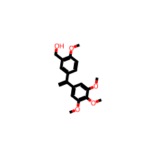 C=C(c1ccc(OC)c(CO)c1)c1cc(OC)c(OC)c(OC)c1